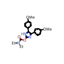 CCN(CC)C(=O)Oc1nc(-c2ccc(OC)cc2)c(-c2ccc(OC)cc2)[nH]1